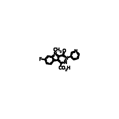 Cn1c2cc(F)ccc2c2c(C(=O)O)nn(-c3cccnc3)c(=O)c21